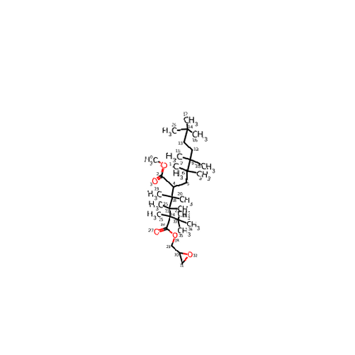 COC(=O)C(CC(C)(C)C(C)(C)CCC(C)(C)C)C(C)(C)C(C)(C)C(C)(C(=O)OCC1CO1)C(C)(C)C